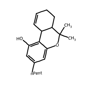 CCCCCc1cc(O)c2c(c1)OC(C)(C)C1CCC=CC21